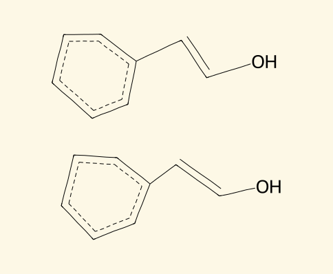 OC=Cc1ccccc1.OC=Cc1ccccc1